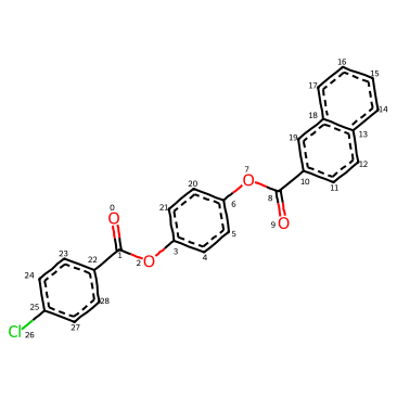 O=C(Oc1ccc(OC(=O)c2ccc3ccccc3c2)cc1)c1ccc(Cl)cc1